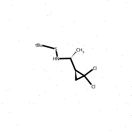 C[C@@H](NSC(C)(C)C)[C@@H]1CC1(Cl)Cl